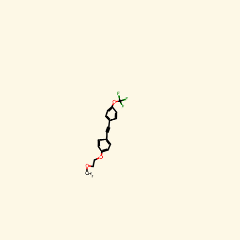 COCCOc1ccc(C#Cc2ccc(OC(F)(F)F)cc2)cc1